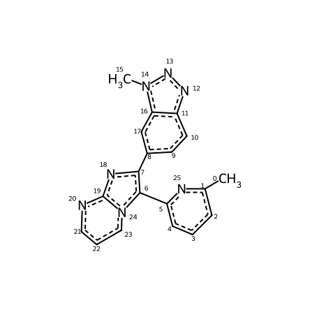 Cc1cccc(-c2c(-c3ccc4nnn(C)c4c3)nc3ncccn23)n1